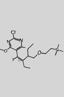 CC/C(=C(\I)c1c(C)nc(Cl)nc1OC)C(CC)COCC[Si](C)(C)C